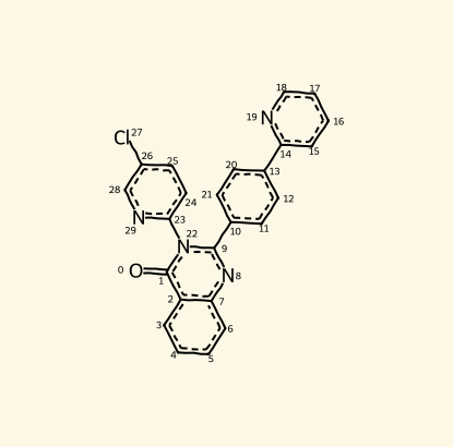 O=c1c2ccccc2nc(-c2ccc(-c3ccccn3)cc2)n1-c1ccc(Cl)cn1